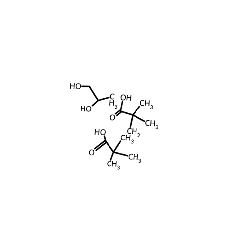 CC(C)(C)C(=O)O.CC(C)(C)C(=O)O.CC(O)CO